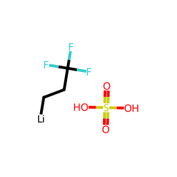 O=S(=O)(O)O.[Li][CH2]CC(F)(F)F